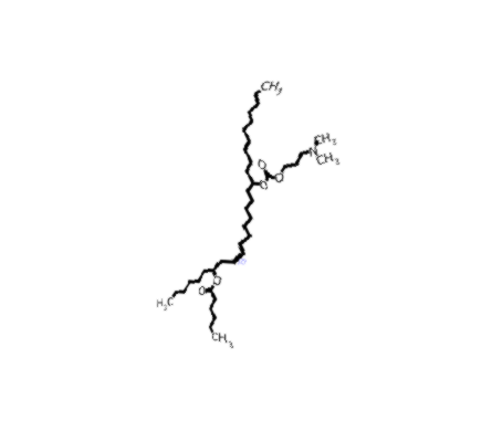 CCCCCCCCCCC(CCCCCCC/C=C\CC(CCCCCC)OC(=O)CCCCC)OC(=O)OCCCN(C)C